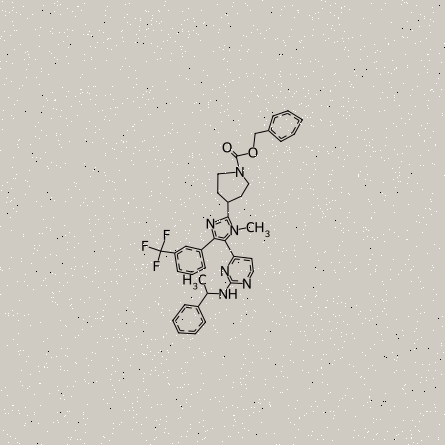 CC(Nc1nccc(-c2c(-c3cccc(C(F)(F)F)c3)nc(C3CCN(C(=O)OCc4ccccc4)CC3)n2C)n1)c1ccccc1